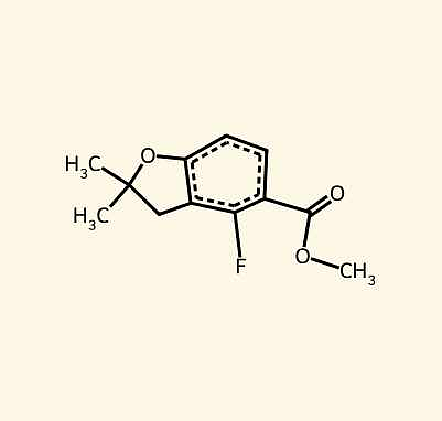 COC(=O)c1ccc2c(c1F)CC(C)(C)O2